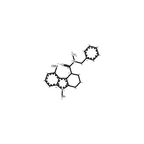 CCCn1c2c(c3c(OC)cccc31)C(C(=O)N(C)Cc1ccccc1)CCC2